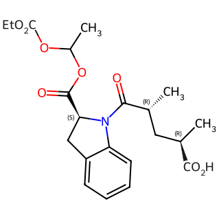 CCOC(=O)OC(C)OC(=O)[C@@H]1Cc2ccccc2N1C(=O)[C@H](C)C[C@@H](C)C(=O)O